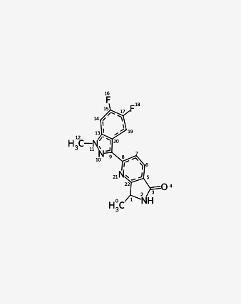 CC1NC(=O)c2ccc(-c3nn(C)c4cc(F)c(F)cc34)nc21